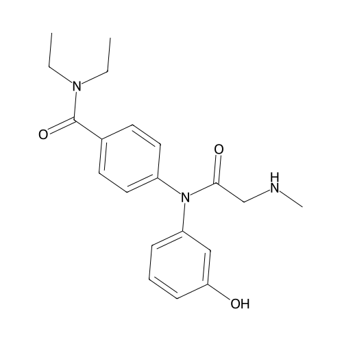 CCN(CC)C(=O)c1ccc(N(C(=O)CNC)c2cccc(O)c2)cc1